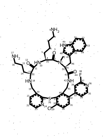 CN1C(=O)[C@H](CCCCN)NC(=O)[C@H](CCCN)NCc2cccnc2Sc2c(Cl)ccc(-c3ccnc(F)c3)c2CNC(=O)[C@@H]1Cc1c[nH]c2ccccc12